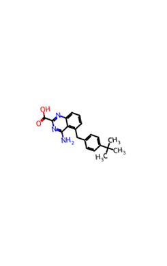 CC(C)(C)c1ccc(Cc2cccc3nc(C(=O)O)nc(N)c23)cc1